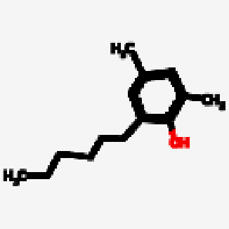 CCCCCCc1cc(C)cc(C)c1O